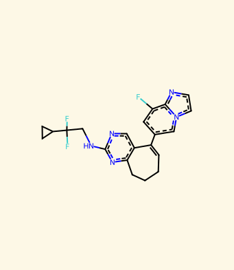 Fc1cc(C2=CCCCc3nc(NCC(F)(F)C4CC4)ncc32)cn2ccnc12